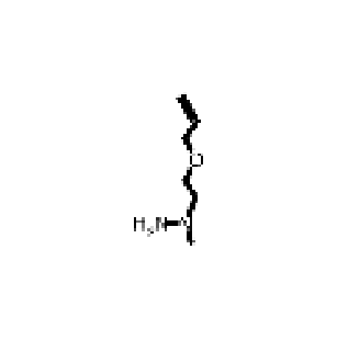 C=CCOCCN(C)N